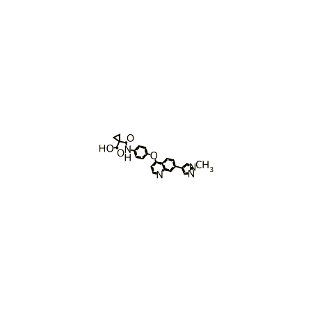 Cn1cc(-c2ccc3c(Oc4ccc(NC(=O)C5(C(=O)O)CC5)cc4)ccnc3c2)cn1